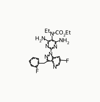 CCOC(=O)N(CC)c1c(N)nc(-n2nc(Cc3ccccc3F)c3ncc(F)cc32)nc1N